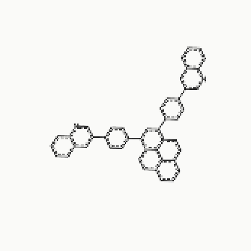 c1ccc2ncc(-c3ccc(-c4cc(-c5ccc(-c6cnc7ccccc7c6)cc5)c5ccc6cccc7ccc4c5c76)cc3)cc2c1